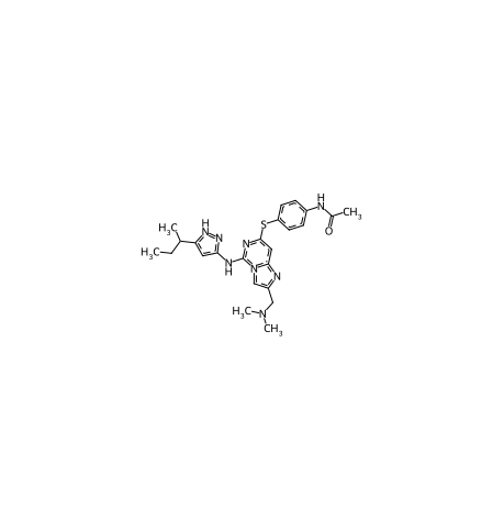 CCC(C)c1cc(Nc2nc(Sc3ccc(NC(C)=O)cc3)cc3nc(CN(C)C)cn23)n[nH]1